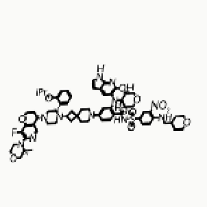 CC(C)Oc1ccccc1[C@H]1CN([C@H]2CCOc3c2cnc(N2CCOC[C@@H]2C)c3F)CCN1C1CC2(CCN(c3ccc(C(=O)NS(=O)(=O)c4ccc(NCC5CCOCC5)c([N+](=O)[O-])c4)c(N4c5cc6cc[nH]c6nc5O[C@H]5COCC[C@@H]54)c3)CC2)C1